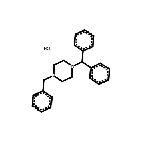 Cl.c1ccc(CN2CCN(C(c3ccccc3)c3ccccc3)CC2)cc1